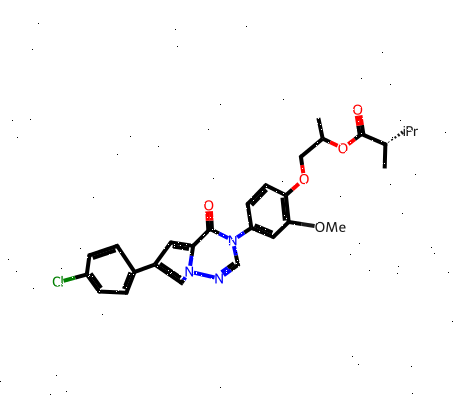 COc1cc(-n2cnn3cc(-c4ccc(Cl)cc4)cc3c2=O)ccc1OCC(C)OC(=O)[C@@H](C)C(C)C